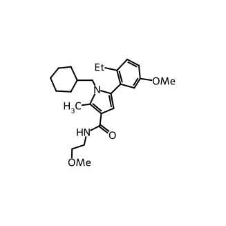 CCc1ccc(OC)cc1-c1cc(C(=O)NCCOC)c(C)n1CC1CCCCC1